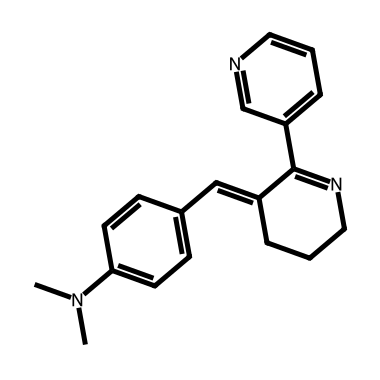 CN(C)c1ccc(C=C2CCCN=C2c2cccnc2)cc1